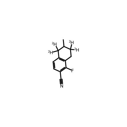 [2H]C1([2H])Cc2c(ccc(C#N)c2F)C([2H])([2H])C1C